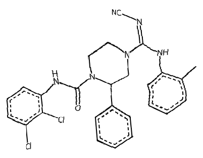 Cc1ccccc1N/C(=N/C#N)N1CCN(C(=O)Nc2cccc(Cl)c2Cl)C(c2ccccc2)C1